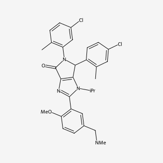 CNCc1ccc(OC)c(-c2nc3c(n2C(C)C)C(c2ccc(Cl)cc2C)N(c2cc(Cl)ccc2C)C3=O)c1